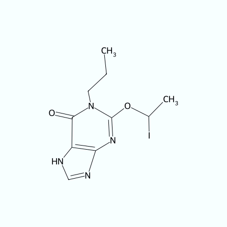 CCCn1c(OC(C)I)nc2nc[nH]c2c1=O